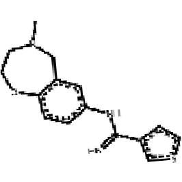 CN1CCOc2ccc(NC(=N)c3ccsc3)cc2C1